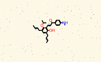 C/C=C/Cc1cc(C/C=C/C)c(OC(C)C)c(/C=C/C(=O)c2ccc(NC)cc2)c1O